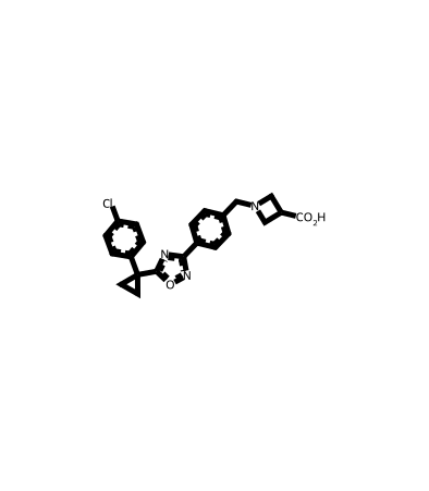 O=C(O)C1CN(Cc2ccc(-c3noc(C4(c5ccc(Cl)cc5)CC4)n3)cc2)C1